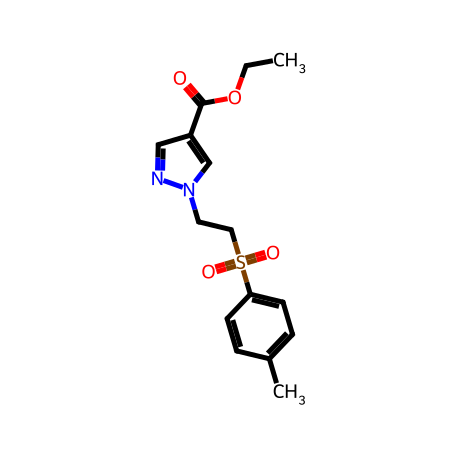 CCOC(=O)c1cnn(CCS(=O)(=O)c2ccc(C)cc2)c1